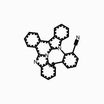 N#Cc1cccc(C#N)c1-n1c2ccccc2c2c3ccccc3c3nc4ccccc4n3c21